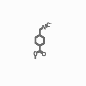 [C-]#[N+]CC1CCC(C(=O)OC)CC1